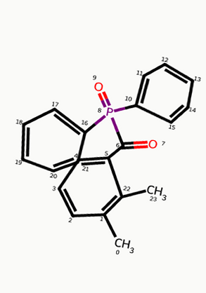 Cc1cccc(C(=O)P(=O)(c2ccccc2)c2ccccc2)c1C